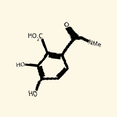 CNC(=O)c1ccc(O)c(O)c1C(=O)O